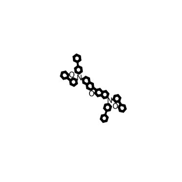 c1ccc(-c2ccc(N(c3ccc4cc5c(cc4c3)oc3cc4cc(N(c6ccc(-c7ccccc7)cc6)c6cccc7c6oc6ccccc67)ccc4cc35)c3cccc4c3oc3ccccc34)cc2)cc1